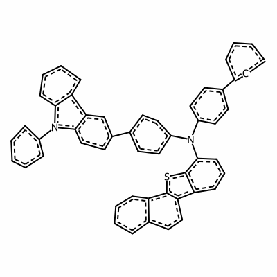 c1ccc(-c2ccc(N(c3ccc(-c4ccc5c(c4)c4ccccc4n5-c4ccccc4)cc3)c3cccc4c3sc3c5ccccc5ccc43)cc2)cc1